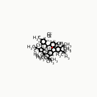 CCC1C=C(C(C)(C)C)C=[C]1[Zr+2](=[C](c1ccc(C)cc1)c1ccc(C)cc1)[c]1c2c(cc(C(C)(C)C)c1C(C)(C)C)-c1cc(C(C)(C)C)c(C(C)(C)C)cc1C2.[Cl-].[Cl-]